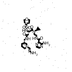 NN=CN1CCC[C@@H](CNC(=O)C[C@H](NS(=O)(=O)N2CCOCC2)C(=O)N(CCNC(=O)c2nccnc2N)C2CC2)C1